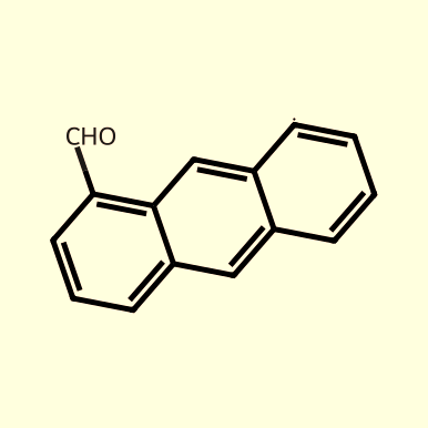 O=Cc1cccc2cc3ccc[c]c3cc12